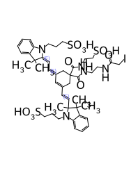 CC1(C)/C(=C\C=C2C=C(/C=C/C3(C)N(CCCS(=O)(=O)O)c4ccccc4C3(C)C)CC(C(=O)NCCNC(=O)CI)(C(=O)NCCS(=O)(=O)O)C\2)N(CCCS(=O)(=O)O)c2ccccc21